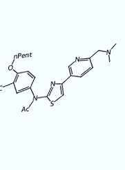 CCCCCOc1ccc(N(C(C)=O)c2nc(-c3ccc(CN(C)C)nc3)cs2)cc1C(F)(F)F